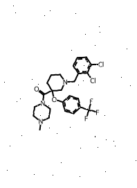 CN1CCN(C(=O)C2(Oc3ccc(C(F)(F)F)cc3)CCCN(Cc3cccc(Cl)c3Cl)C2)CC1